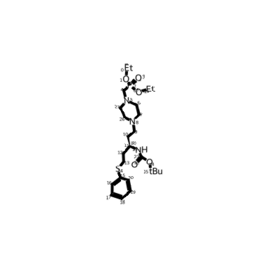 CCOP(=O)(CN1CCN(CC[C@H](CCSc2ccccc2)NC(=O)OC(C)(C)C)CC1)OCC